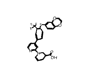 O=C(O)C1CCCN(c2cc(-c3ccc(Sc4ccc5c(c4)OCCO5)c(C(F)(F)F)c3)ccn2)C1